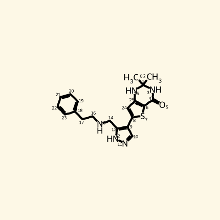 CC1(C)NC(=O)c2sc(-c3cn[nH]c3CNCCc3ccccc3)cc2N1